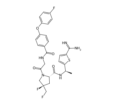 C[C@@H](NC(=O)[C@@H]1C[C@](F)(CF)CN1C(=O)CNC(=O)c1ccc(Oc2ccc(F)cc2)cc1)c1ccc(C(=N)N)s1